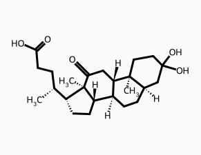 C[C@H](CCC(=O)O)[C@H]1CC[C@H]2[C@@H]3CC[C@@H]4CC(O)(O)CC[C@]4(C)[C@H]3CC(=O)[C@]12C